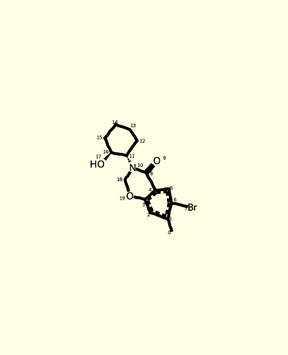 Cc1cc2c(cc1Br)C(=O)N([C@H]1CCCC[C@@H]1O)CO2